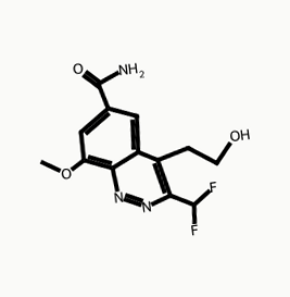 COc1cc(C(N)=O)cc2c(CCO)c(C(F)F)nnc12